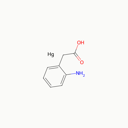 Nc1ccccc1CC(=O)O.[Hg]